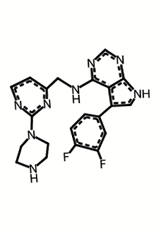 Fc1ccc(-c2c[nH]c3ncnc(NCc4ccnc(N5CCNCC5)n4)c23)cc1F